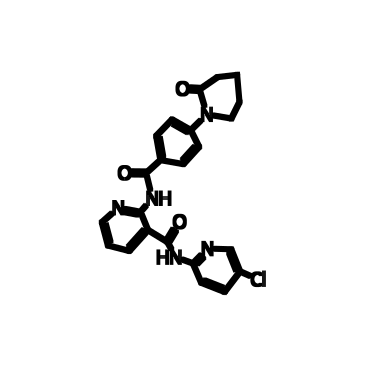 O=C(Nc1ncccc1C(=O)Nc1ccc(Cl)cn1)c1ccc(N2CCCCC2=O)cc1